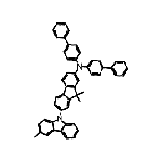 Cc1ccc2c(c1)c1ccccc1n2-c1ccc2c(c1)C(C)(C)c1cc(N(c3ccc(-c4ccccc4)cc3)c3ccc(-c4ccccc4)cc3)ccc1-2